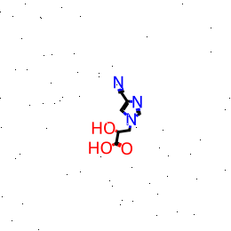 N#Cc1cn(CC(O)C(=O)O)cn1